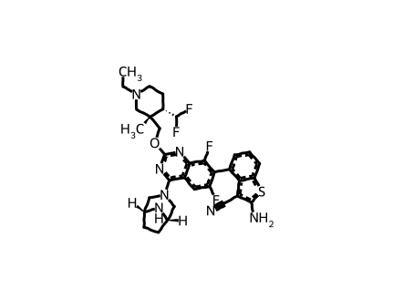 CCN1CC[C@H](C(F)F)[C@](C)(COc2nc(N3C[C@H]4CC[C@@H](C3)N4)c3cc(F)c(-c4cccc5sc(N)c(C#N)c45)c(F)c3n2)C1